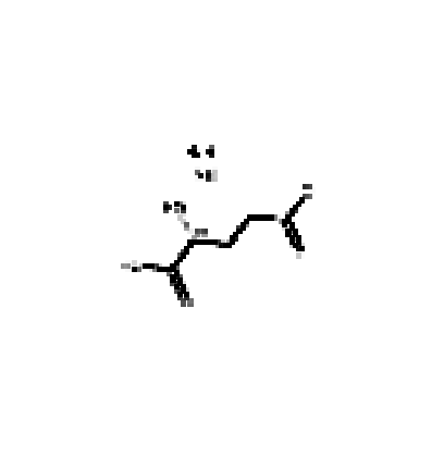 O=C(O)CC[C@@H](O)C(=O)O.[NaH].[NaH]